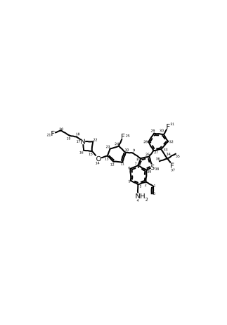 C=Cc1c(N)ccc2c(CC3=CC=C(OC4CN(CCCF)C4)CC3F)c(-c3ccc(F)cc3C(C)(C)F)sc12